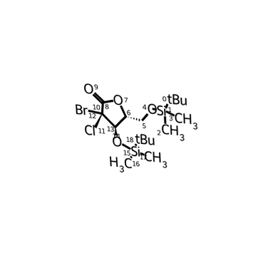 CC(C)(C)[Si](C)(C)OC[C@H]1OC(=O)[C@@](Cl)(Br)[C@@H]1O[Si](C)(C)C(C)(C)C